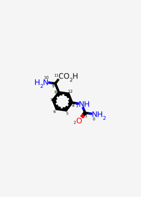 NC(=O)Nc1cccc(C(N)C(=O)O)c1